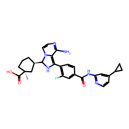 C[C@]1(C(=O)O)CCC[C@@H](C2NC(c3ccc(C(=O)Nc4cc(C5CC5)ccn4)cc3F)=C3C(N)=NC=CN32)C1